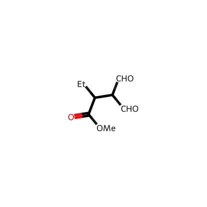 CCC(C(=O)OC)C(C=O)C=O